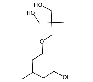 CC(CCO)CCOCC(C)(CO)CO